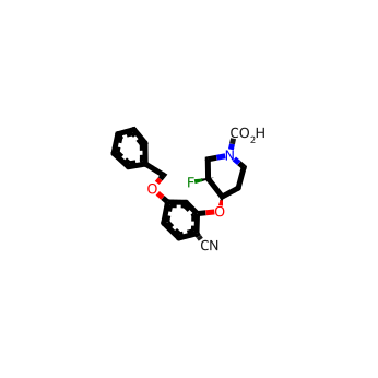 N#Cc1ccc(OCc2ccccc2)cc1O[C@@H]1CCN(C(=O)O)C[C@@H]1F